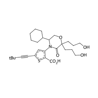 CC(C)(C)C#Cc1cc(N2C(=O)C(CCCO)(CCCO)OCC2C2CCCCC2)c(C(=O)O)s1